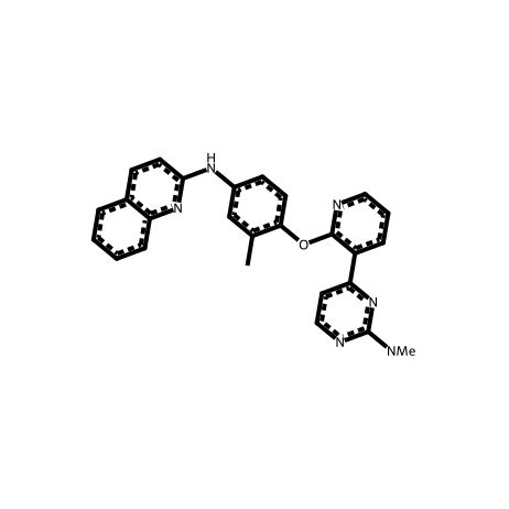 CNc1nccc(-c2cccnc2Oc2ccc(Nc3ccc4ccccc4n3)cc2C)n1